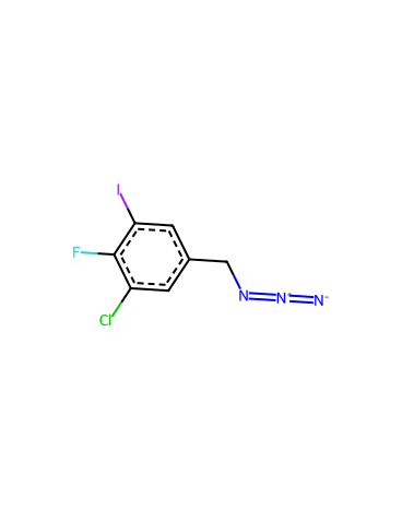 [N-]=[N+]=NCc1cc(Cl)c(F)c(I)c1